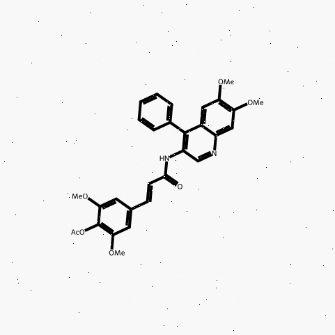 COc1cc2ncc(NC(=O)C=Cc3cc(OC)c(OC(C)=O)c(OC)c3)c(-c3ccccc3)c2cc1OC